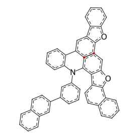 c1cc(-c2ccc3ccccc3c2)cc(N(c2ccccc2-c2ccc3oc4ccccc4c3c2)c2cccc3oc4c5ccccc5ccc4c23)c1